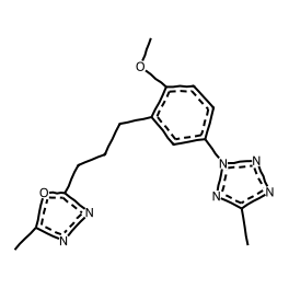 COc1ccc(-n2nnc(C)n2)cc1CCCc1nnc(C)o1